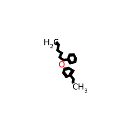 C=CCCCC(Oc1ccc(CCC)cc1)c1ccccc1